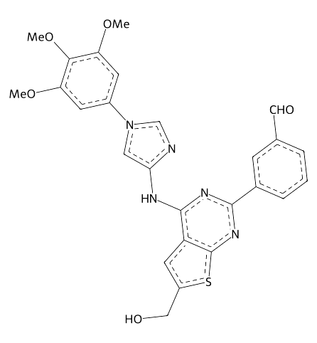 COc1cc(-n2cnc(Nc3nc(-c4cccc(C=O)c4)nc4sc(CO)cc34)c2)cc(OC)c1OC